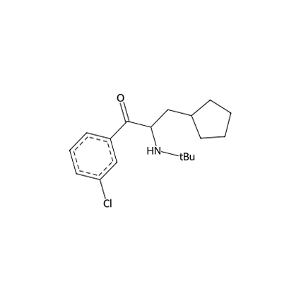 CC(C)(C)NC(CC1CCCC1)C(=O)c1cccc(Cl)c1